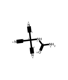 N#CC(C#N)(C#N)NC(N)=O